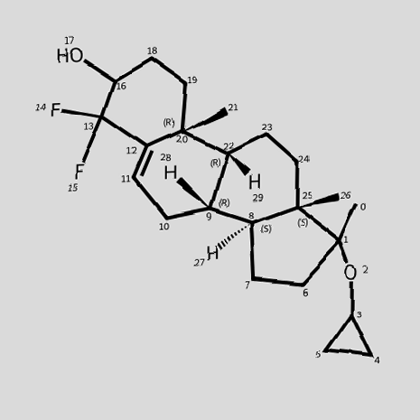 CC1(OC2CC2)CC[C@H]2[C@@H]3CC=C4C(F)(F)C(O)CC[C@]4(C)[C@@H]3CC[C@@]21C